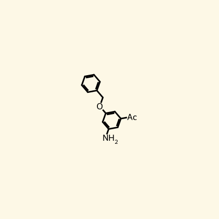 CC(=O)c1cc(N)cc(OCc2ccccc2)c1